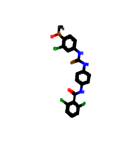 C[S+]([O-])c1ccc(NC(=S)Nc2ccc(NC(=O)c3c(F)cccc3F)cc2)cc1Cl